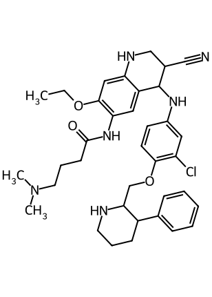 CCOc1cc2c(cc1NC(=O)CCCN(C)C)C(Nc1ccc(OCC3NCCCC3c3ccccc3)c(Cl)c1)C(C#N)CN2